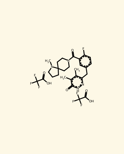 Cc1c(Cc2ccc(F)c(C(=O)N3CCC4(CCCN4C)CC3)c2)n[nH]c(=O)c1C.O=C(O)C(F)(F)F.O=C(O)C(F)(F)F